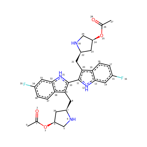 CC(=O)O[C@@H]1CN[C@H](Cc2c(-c3[nH]c4cc(F)ccc4c3C[C@@H]3C[C@H](OC(C)=O)CN3)[nH]c3cc(F)ccc23)C1